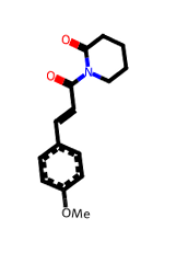 COc1ccc(/C=C/C(=O)N2CCCCC2=O)cc1